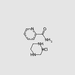 C1CNCCN1.Cl.NC(=O)c1ccccn1